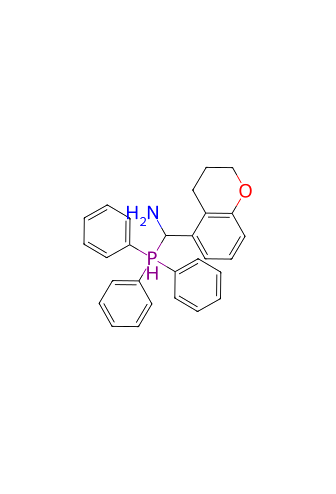 NC(c1cccc2c1CCCO2)[PH](c1ccccc1)(c1ccccc1)c1ccccc1